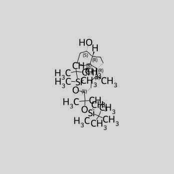 C[C@@H](CC[C@@H](O[Si](C)(C)C(C)(C)C)C(C)(C)O[Si](C)(C)C(C)(C)C)[C@H]1CC[C@H]2[C@@H](O)CCC[C@]12C